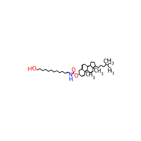 CC(C)CCCC1CCC2C3CC=C4C[C@H](OC(=O)NCCCCCCCCCCCCO)CC[C@@]4(C)C3CC[C@@]12C